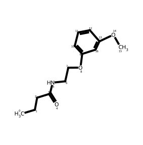 CCCC(=O)NCCOc1cccc(OC)c1